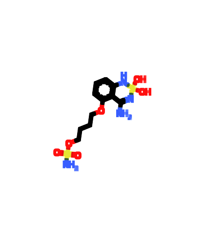 NC1=NS(O)(O)Nc2cccc(OCCCCOS(N)(=O)=O)c21